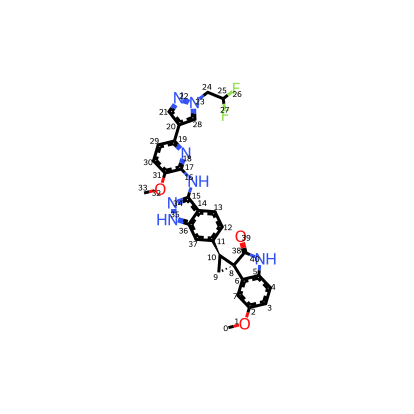 COc1ccc2c(c1)[C@]1(C[C@H]1c1ccc3c(Nc4nc(-c5cnn(CC(F)F)c5)ccc4OC)n[nH]c3c1)C(=O)N2